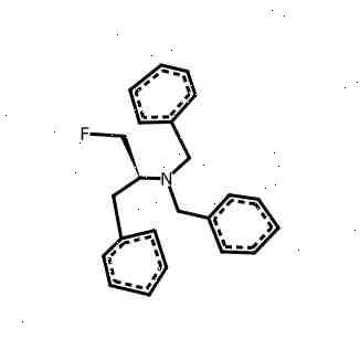 FC[C@H](Cc1ccccc1)N(Cc1ccccc1)Cc1ccccc1